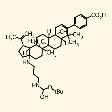 C=C(C)[C@@H]1CC[C@]2(NCCCNC(O)OC(C)(C)C)CC[C@]3(C)[C@H](CC[C@@H]4[C@@]5(C)CC=C(c6ccc(C(=O)O)cc6)C(C)(C)[C@@H]5CC[C@]43C)[C@@H]12